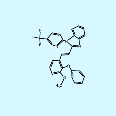 COc1cccc(/C=C/c2nc3ccccc3n2-c2ccc(C(F)(F)F)cn2)c1Oc1ccccc1